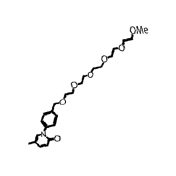 COCCOCCOCCOCCOCCOCc1ccc(-n2cc(C)ccc2=O)cc1